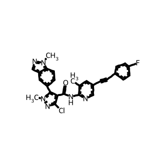 Cc1cc(C#Cc2ccc(F)cc2)cnc1NC(=O)c1c(Cl)nn(C)c1-c1ccc2c(cnn2C)c1